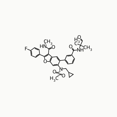 CNC(=O)c1c(-c2ccc(F)cc2)oc2cc(N(CC3CC3)S(C)(=O)=O)c(-c3cccc(C(=O)NC(C)(C)C=O)c3)cc12